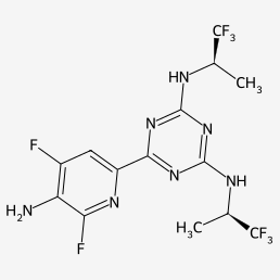 C[C@@H](Nc1nc(N[C@H](C)C(F)(F)F)nc(-c2cc(F)c(N)c(F)n2)n1)C(F)(F)F